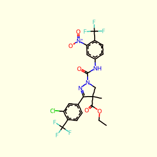 CCOC(=O)C1(C)CN(C(=O)Nc2ccc(C(F)(F)F)c([N+](=O)[O-])c2)N=C1c1ccc(C(F)(F)F)c(Cl)c1